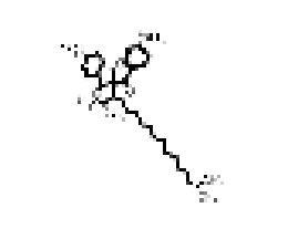 CC(C)CCCCCCCCCCCCC(C(C)C)C([C]=O)(C(=O)c1ccc(N)cc1)C(=O)c1ccc(N)cc1